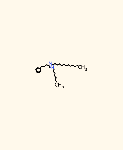 CCCCCCCCCCCCc1nc(CCCc2ccccc2)cn1CCCCCCCC